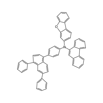 c1ccc(-c2ccc3c(-c4ccc(N(c5ccc6c(c5)oc5ccccc56)c5cc6ccccc6c6ccccc56)cc4)ccc(-c4ccccc4)c3c2)cc1